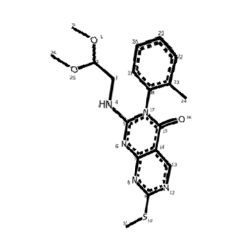 COC(CNc1nc2nc(SC)ncc2c(=O)n1-c1ccccc1C)OC